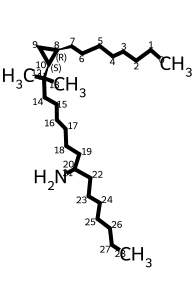 CCCCCCCC[C@@H]1C[C@@H]1C(C)(C)CCCCCCC(N)CCCCCCC